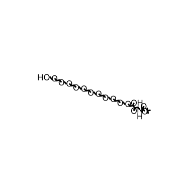 CC(C)(C)OC(=O)NCC(=O)C(O)COCCOCCOCCOCCOCCOCCOCCOCCOCCOCCOCCO